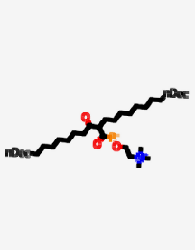 CCCCCCCCCCCCCCCCCCC(C(=O)CCCCCCCCCCCCCCCCC)C(=O)[P-]OCC[N+](C)(C)C